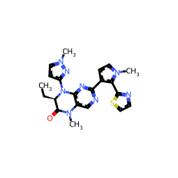 CC[C@@H]1C(=O)N(C)c2cnc(-c3ccn(C)c3-c3nccs3)nc2N1c1ccn(C)n1